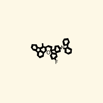 Cc1c2c(c3cccc4c3c1-c1ccccc1-4)OC(c1ccc(F)cc1)(c1ccc(-n3c4ccccc4c4ccccc43)cc1)C=C2